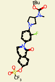 CN(C(=O)OC(C)(C)C)C1CCN(c2ccc(-n3ccc4cc(OS(=O)(=O)C(F)(F)F)ccc4c3=O)cc2F)C1